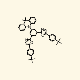 CC(C)(C)c1ccc(-c2nnc(C3=CC(c4nnc(-c5ccc(C(C)(C)C)cc5)o4)CC(N4c5ccccc5C(C)(C)C5C=CC=CC54)=C3)o2)cc1